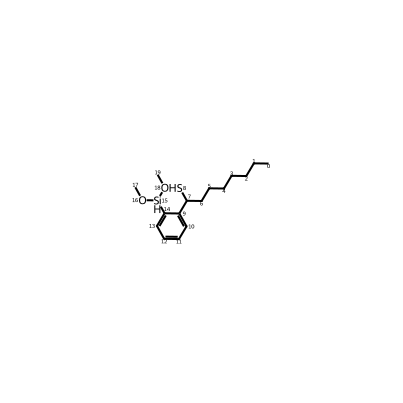 CCCCCCCC(S)c1ccccc1[SiH](OC)OC